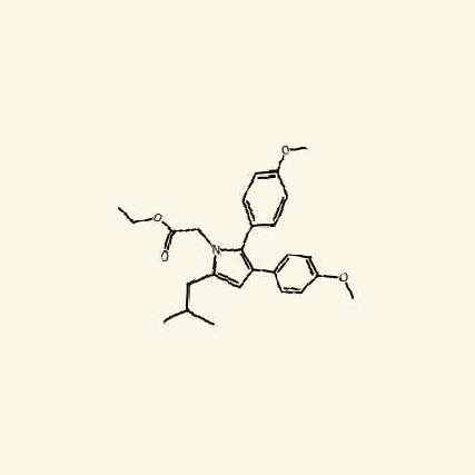 CCOC(=O)Cn1c(CC(C)C)cc(-c2ccc(OC)cc2)c1-c1ccc(OC)cc1